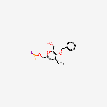 C=C1C=C(COPI)OC(CO)=C1OCc1ccccc1